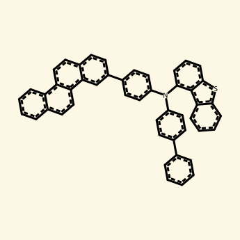 c1ccc(-c2ccc(N(c3ccc(-c4ccc5ccc6c7ccccc7ccc6c5c4)cc3)c3cccc4sc5ccccc5c34)cc2)cc1